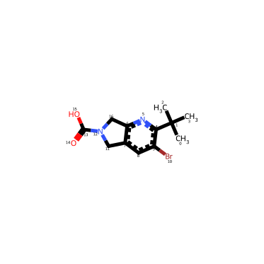 CC(C)(C)c1nc2c(cc1Br)CN(C(=O)O)C2